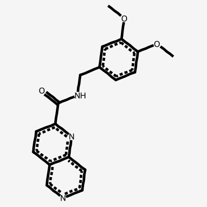 COc1ccc(CNC(=O)c2ccc3cnccc3n2)cc1OC